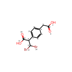 O=C(O)Cc1ccc(C(C(=O)O)C(Br)Br)cc1